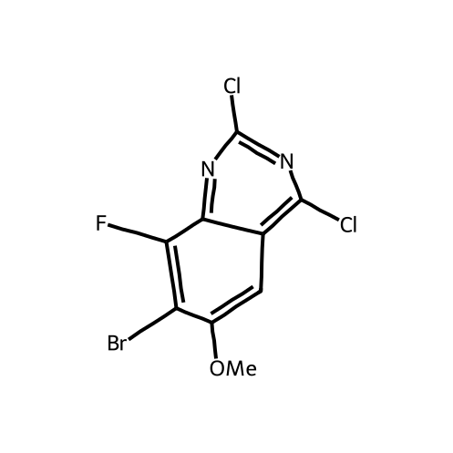 COc1cc2c(Cl)nc(Cl)nc2c(F)c1Br